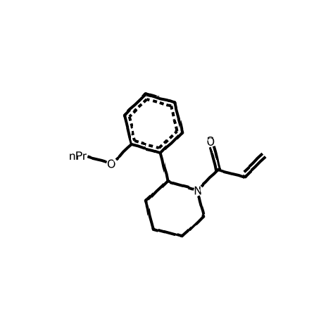 C=CC(=O)N1CCCCC1c1ccccc1OCCC